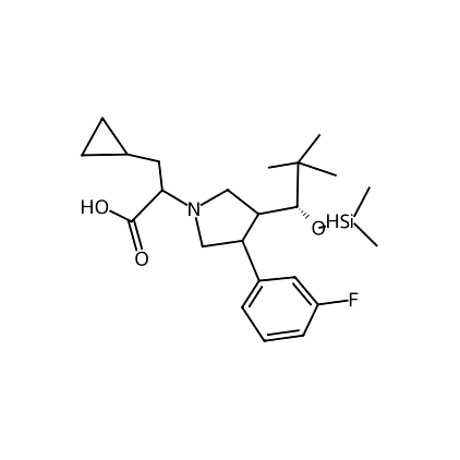 C[SiH](C)O[C@H](C1CN(C(CC2CC2)C(=O)O)CC1c1cccc(F)c1)C(C)(C)C